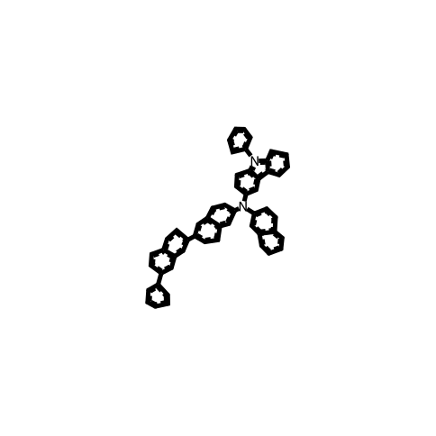 c1ccc(-c2ccc3ccc(-c4ccc5cc(N(c6ccc7ccccc7c6)c6ccc7c(c6)c6ccccc6n7-c6ccccc6)ccc5c4)cc3c2)cc1